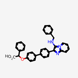 O=C(O)C(Oc1ccc(-c2ccc(-c3nc4ccccn4c3NCc3ccccc3)cc2)cc1)c1ccccc1